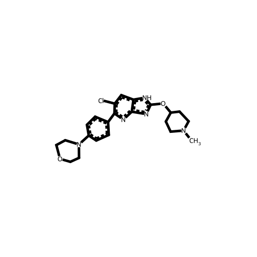 CN1CCC(Oc2nc3nc(-c4ccc(N5CCOCC5)cc4)c(Cl)cc3[nH]2)CC1